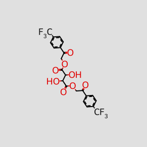 O=C(COC(=O)C(O)C(O)C(=O)OCC(=O)c1ccc(C(F)(F)F)cc1)c1ccc(C(F)(F)F)cc1